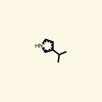 CC(C)c1cc[nH]c1